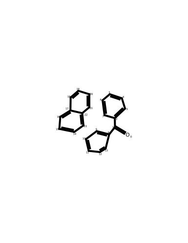 O=C(c1ccccc1)c1ccccc1.c1ccc2ccccc2c1